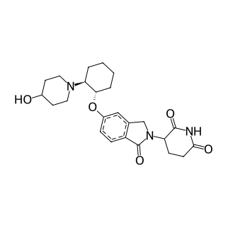 O=C1CCC(N2Cc3cc(O[C@H]4CCCC[C@@H]4N4CCC(O)CC4)ccc3C2=O)C(=O)N1